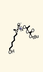 CC(O/N=[N+](\[O-])N(C)CCCCCCO)OC(=O)OC(C)(C)C